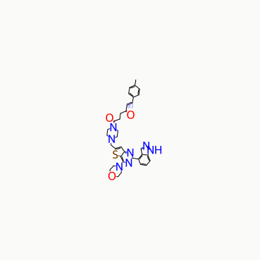 Cc1ccc(/C=C/C(=O)CCC(=O)N2CCN(Cc3cc4nc(-c5cccc6[nH]ncc56)nc(N5CCOCC5)c4s3)CC2)cc1